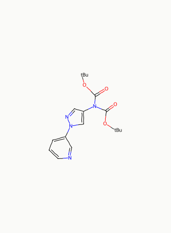 CC(C)(C)OC(=O)N(C(=O)OC(C)(C)C)c1cnn(-c2cccnc2)c1